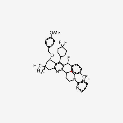 COc1ccc(CO[C@H]2CC(C)(C)Cc3nc(C4CCN(c5ncccn5)CC4)c(C(F)c4ccc(C(F)(F)F)cc4)c(C4CCC(F)(F)CC4)c32)cc1